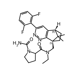 CCN(C[C@@]12CC[C@@H](c3cc(-c4c(F)cccc4F)nnc31)C2(C)C)C(=O)C1CCCN1C(N)=O